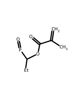 C=C(C)C(=O)OC(CC)P=O